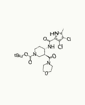 Cc1[nH]c(C(=O)N[C@H]2CCN(C(=O)OC(C)(C)C)C[C@@H]2C(=O)N2CCOCC2)c(Cl)c1Cl